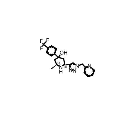 C[C@H]1CC(O)(c2ccc(C(F)(F)F)cc2)C[C@@H](c2cn(Cc3ccccn3)nn2)N1